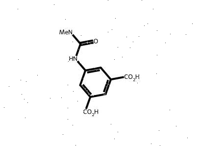 CNC(=O)Nc1cc(C(=O)O)cc(C(=O)O)c1